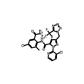 Cc1cc(Cl)cc(C(N)=O)c1NC(=O)c1cc(Cn2nnnc2C(F)(F)C(F)(F)F)nn1-c1ncccc1Cl